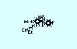 CCN(CC)CCCOc1cc2c(N(Cl)c3ccc(F)cc3)ncnc2cc1OC